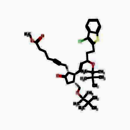 COC(=O)CCCC#CC[C@H]1C(=O)C[C@@H](CO[Si](C)(C)C(C)(C)C)[C@@H]1/C=C/C(CCc1sc2ccccc2c1Cl)O[Si](C)(C)C(C)(C)C